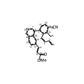 C=C/C=C\c1c(-c2cncc3ccc(/C=C/C(=O)OC)cc23)ccc(C#N)c1C